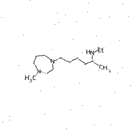 CCNC(C)CCCCN1CCCN(C)CC1